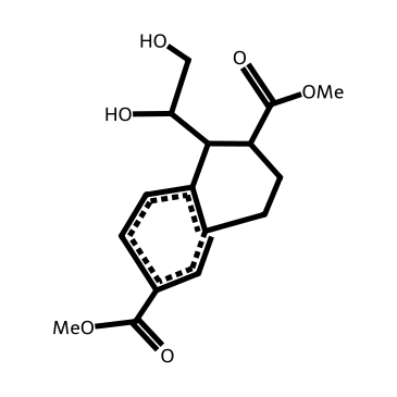 COC(=O)c1ccc2c(c1)CCC(C(=O)OC)C2C(O)CO